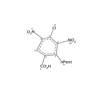 CCCCCc1c(C(=O)O)cc([N+](=O)[O-])c(Cl)c1[N+](=O)[O-]